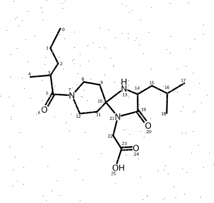 CCCC(C)C(=O)N1CCC2(CC1)NC(CC(C)C)C(=O)N2CC(=O)O